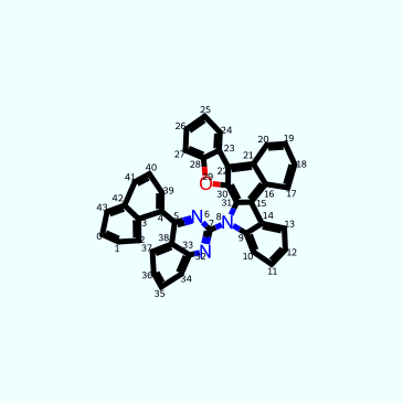 c1ccc2c(-c3nc(-n4c5ccccc5c5c6ccccc6c6c7ccccc7oc6c54)nc4ccccc34)cccc2c1